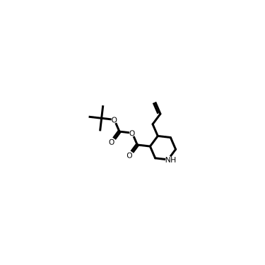 C=CCC1CCNCC1C(=O)OC(=O)OC(C)(C)C